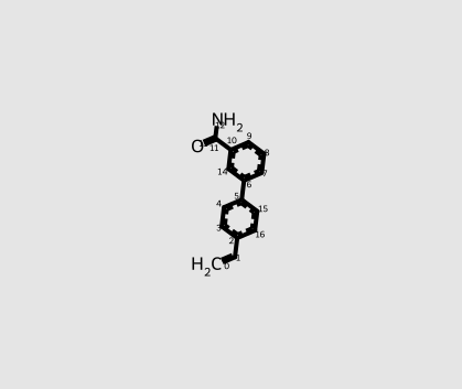 C=Cc1ccc(-c2cccc(C(N)=O)c2)cc1